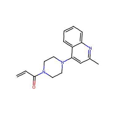 C=CC(=O)N1CCN(c2cc(C)nc3ccccc23)CC1